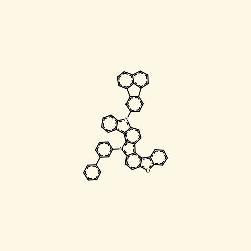 c1ccc(-c2cccc(-n3c4ccc5oc6ccccc6c5c4c4ccc5c(c6ccccc6n5-c5ccc6c(c5)-c5cccc7cccc-6c57)c43)c2)cc1